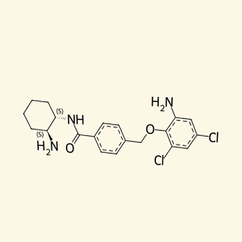 Nc1cc(Cl)cc(Cl)c1OCc1ccc(C(=O)N[C@H]2CCCC[C@@H]2N)cc1